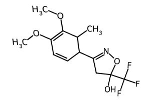 COC1=C(OC)C(C)C(C2=NOC(O)(C(F)(F)F)C2)C=C1